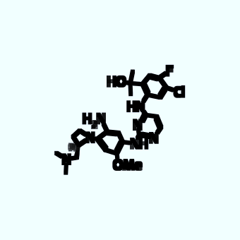 COc1cc(N2CC[C@@H]2CN(C)C)c(N)cc1Nc1nccc(Nc2cc(Cl)c(F)cc2C(C)(C)O)n1